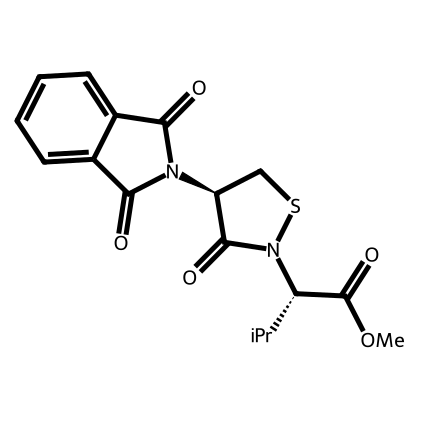 COC(=O)[C@H](C(C)C)N1SC[C@H](N2C(=O)c3ccccc3C2=O)C1=O